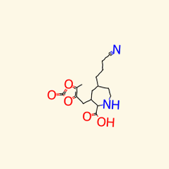 Cc1oc(=O)oc1CC1CC(CCCC#N)CCNC1C(=O)O